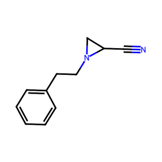 N#CC1CN1CCc1ccccc1